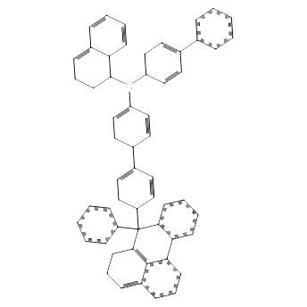 C1=CC2=CCCC(N(C3=CCC(C4=CCC(C5(c6ccccc6)C6=c7c(cccc7=CCC6)-c6ccccc65)C=C4)C=C3)C3C=CC(c4ccccc4)=CC3)C2C=C1